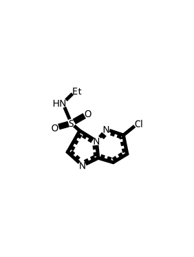 CCNS(=O)(=O)c1cnc2ccc(Cl)nn12